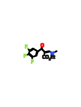 CCOC(=O)/C(=C\N(C)C)C(=O)c1cc(F)c(F)c(F)c1